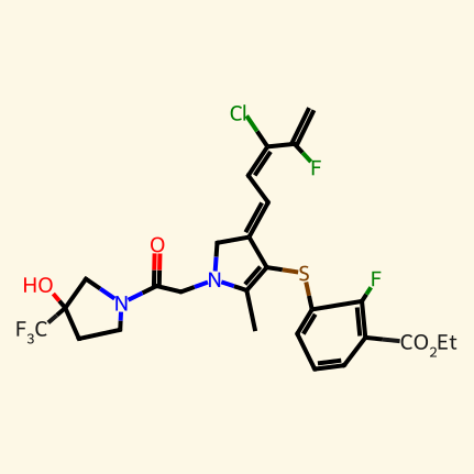 C=C(F)/C(Cl)=C\C=C1/CN(CC(=O)N2CCC(O)(C(F)(F)F)C2)C(C)=C1Sc1cccc(C(=O)OCC)c1F